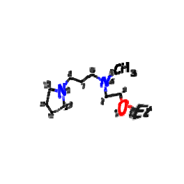 CCOCCN(C)CCCN1CCCC1